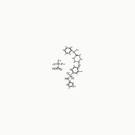 Cc1cc(S(=O)(=O)Nc2cscn2)ncc1OC1CCN(C(C)c2ccccc2)CC1.O=C(O)C(F)(F)F